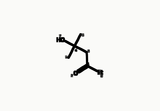 CCC(=O)CC(C)(C)O